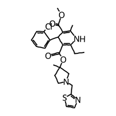 CCC1=C(C(=O)OC2(C)CCN(Cc3nccs3)C2)C(c2ccccc2Cl)C(C(=O)OC)=C(C)N1